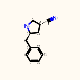 N#C[C@H]1CN[C@H](Cc2ccccc2)C1